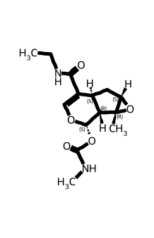 CCNC(=O)C1=CO[C@@H](OC(=O)NC)[C@@H]2[C@@H]1C[C@@H]1O[C@]21C